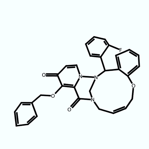 O=C1c2c(OCc3ccccc3)c(=O)ccn2N2CN1C/C=C\COc1ccccc1C2c1ccccc1F